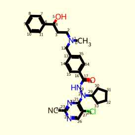 CN(CCC(O)c1ccccc1)Cc1ccc(C(=O)NN(c2nc(C#N)ncc2Cl)C2CCCC2)cc1